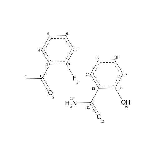 CC(=O)c1ccccc1F.NC(=O)c1ccccc1O